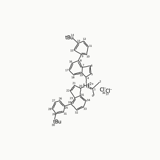 C[C](C)=[Hf+2]([CH]1C=Cc2c(-c3cccc(C(C)(C)C)c3)cccc21)[CH]1C=Cc2c(-c3cccc(C(C)(C)C)c3)cccc21.[Cl-].[Cl-]